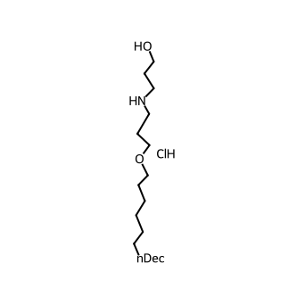 CCCCCCCCCCCCCCCCOCCCNCCCO.Cl